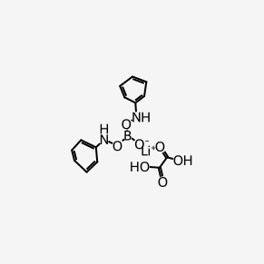 O=C(O)C(=O)O.[Li+].[O-]B(ONc1ccccc1)ONc1ccccc1